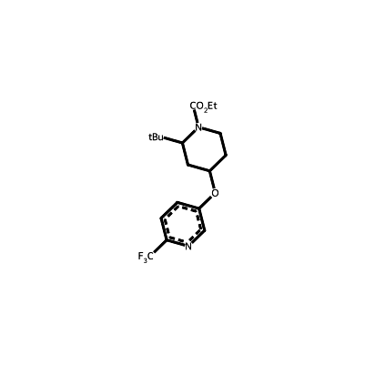 CCOC(=O)N1CCC(Oc2ccc(C(F)(F)F)nc2)CC1C(C)(C)C